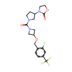 O=C(N1CC(OCc2ccc(C(F)(F)F)cc2F)C1)N1CCC(N2CCOC2=O)C1